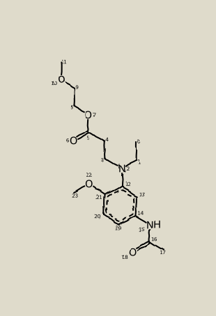 CCN(CCC(=O)OCCOC)c1cc(NC(C)=O)ccc1OC